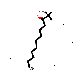 CCCCCCCCCCCCCCCCCC(=O)C(C)(C)CCC